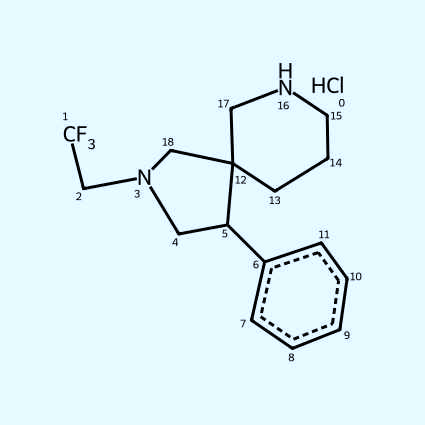 Cl.FC(F)(F)CN1CC(c2ccccc2)C2(CCCNC2)C1